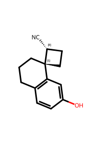 N#C[C@@H]1CC[C@@]12CCCc1ccc(O)cc12